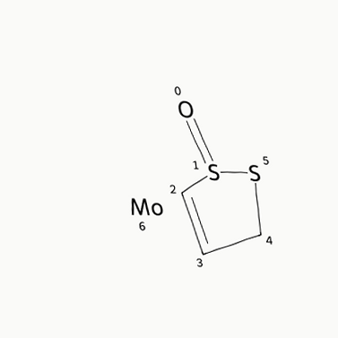 O=S1C=CCS1.[Mo]